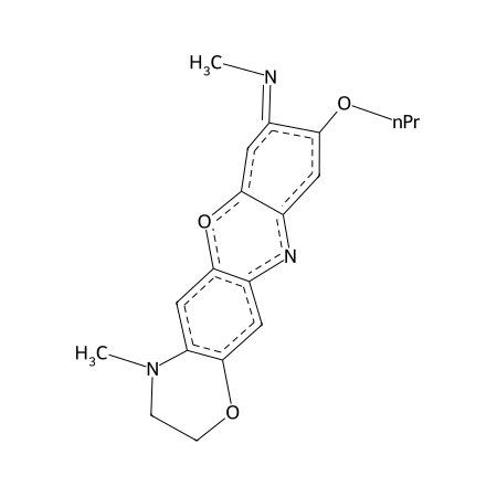 CCCOc1cc2nc3cc4c(cc3oc-2c/c1=N\C)N(C)CCO4